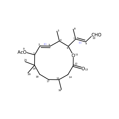 CC(=O)OC1/C=C/C(C)C(/C(C)=C/C=O)OC(=O)CC(C)CCC1(C)C